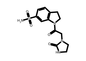 NS(=O)(=O)c1ccc2c(c1)N(C(=O)CN1CCNC1=O)CC2